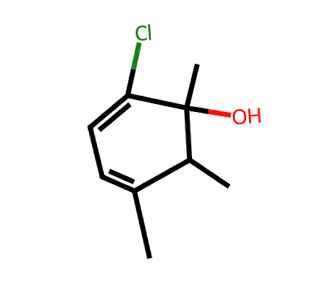 CC1=CC=C(Cl)C(C)(O)C1C